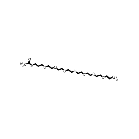 CCCOCCOCCOCCOCCOCCOCCOCCCSC(C)=O